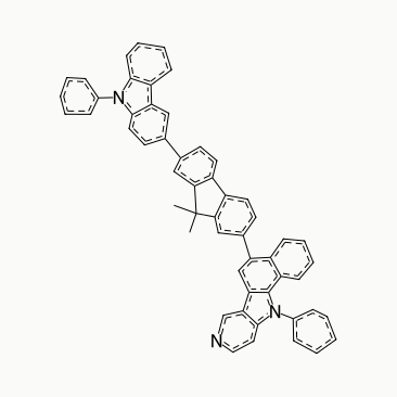 CC1(C)c2cc(-c3ccc4c(c3)c3ccccc3n4-c3ccccc3)ccc2-c2ccc(-c3cc4c5cnccc5n(-c5ccccc5)c4c4ccccc34)cc21